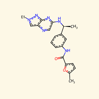 CCn1cc2ncc(N[C@@H](C)c3cccc(NC(=O)c4ccc(C)o4)c3)nc2n1